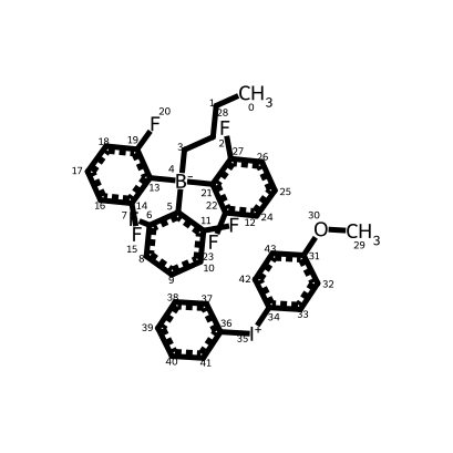 CCCC[B-](c1c(F)cccc1F)(c1c(F)cccc1F)c1c(F)cccc1F.COc1ccc([I+]c2ccccc2)cc1